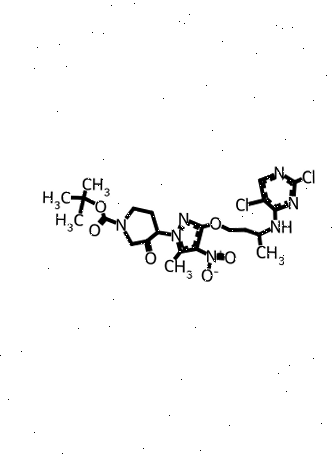 Cc1c([N+](=O)[O-])c(OCCC(C)Nc2nc(Cl)ncc2Cl)nn1C1CCN(C(=O)OC(C)(C)C)CC1=O